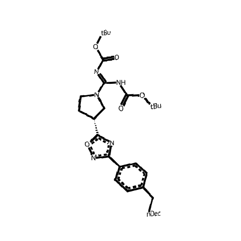 CCCCCCCCCCCc1ccc(-c2noc([C@@H]3CCN(C(=NC(=O)OC(C)(C)C)NC(=O)OC(C)(C)C)C3)n2)cc1